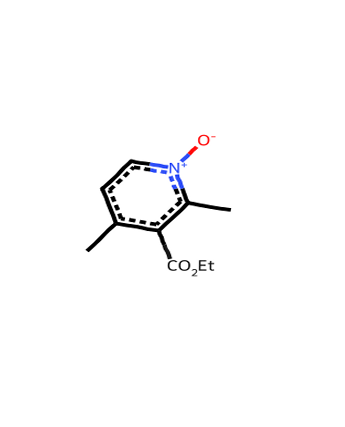 CCOC(=O)c1c(C)cc[n+]([O-])c1C